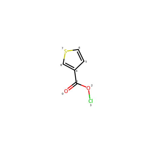 O=C(OCl)c1ccsc1